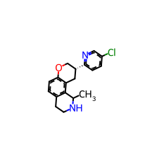 CC1NCCc2ccc3c(c21)C[C@@H](c1ccc(Cl)cn1)CO3